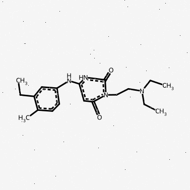 CCc1cc(Nc2cc(=O)n(CCN(CC)CC)c(=O)[nH]2)ccc1C